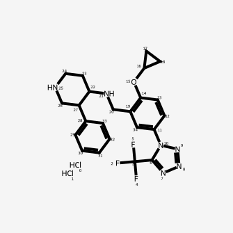 Cl.Cl.FC(F)(F)c1nnnn1-c1ccc(OC2CC2)c(CNC2CCNCC2c2ccccc2)c1